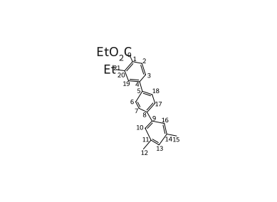 CCOC(=O)c1ccc(-c2ccc(-c3cc(C)cc(C)c3)cc2)cc1CC